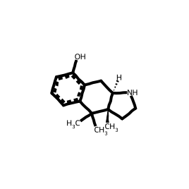 CC1(C)c2cccc(O)c2C[C@H]2NCC[C@@]21C